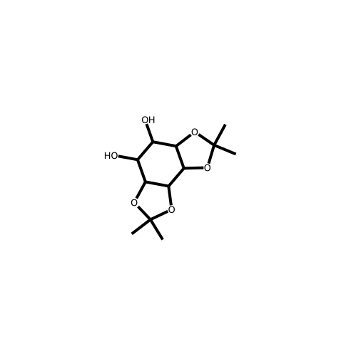 CC1(C)OC2C(O)C(O)C3OC(C)(C)OC3C2O1